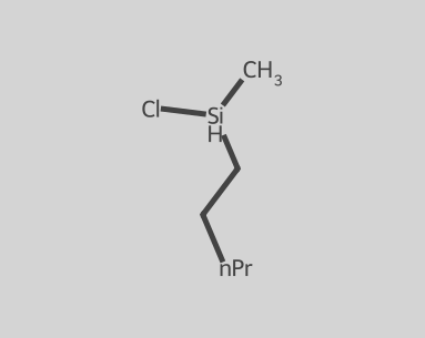 CCCCC[SiH](C)Cl